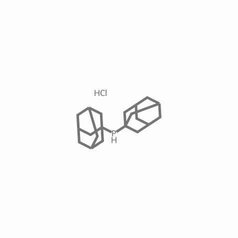 C1C2CC3CC1CC(PC14CC5CC(CC(C5)C1)C4)(C2)C3.Cl